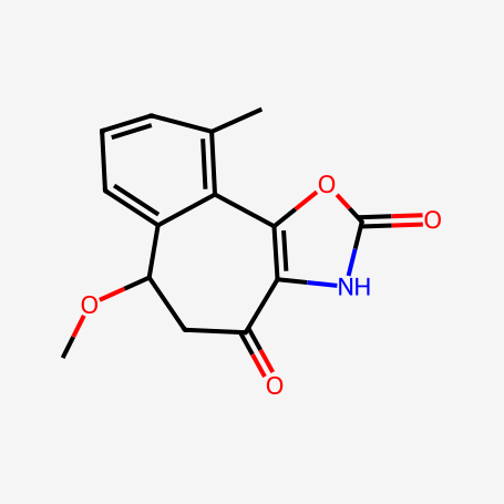 COC1CC(=O)c2[nH]c(=O)oc2-c2c(C)cccc21